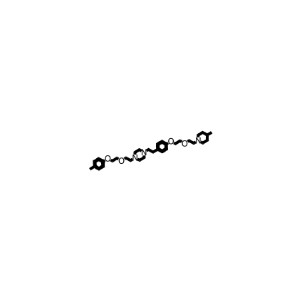 Cc1ccc(OCCOCCN2CCN(CCc3ccc(OCCOCCN4CCC(C)CC4)cc3)CC2)cc1